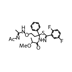 COC(C)C(=O)N1N=C(c2cc(F)ccc2F)SC1(CCONC(C)=NC(C)=O)c1ccccc1